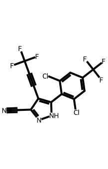 N#Cc1n[nH]c(-c2c(Cl)cc(C(F)(F)F)cc2Cl)c1C#CC(F)(F)F